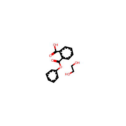 O=C(O)c1ccccc1C(=O)Oc1ccccc1.OCCO